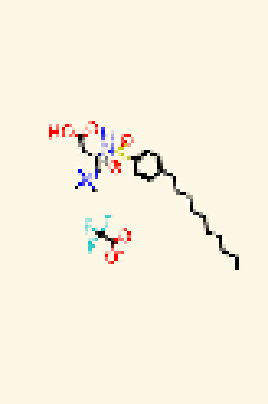 CCCCCCCCCCc1ccc(S(=O)(=O)N[C@H](CC(=O)O)C[N+](C)(C)C)cc1.O=C([O-])C(F)(F)F